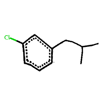 CC(C)Cc1[c]ccc(Cl)c1